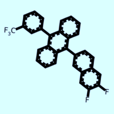 Fc1cc2ccc(-c3c4ccccc4c(-c4cccc(C(F)(F)F)c4)c4ccccc34)cc2cc1F